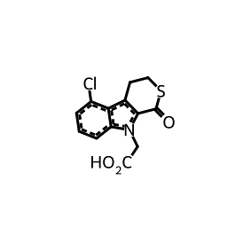 O=C(O)Cn1c2c(c3c(Cl)cccc31)CCSC2=O